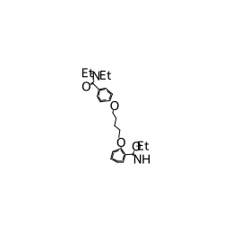 CCOC(=N)c1ccccc1OCCCCCOc1ccc(C(=O)N(CC)CC)cc1